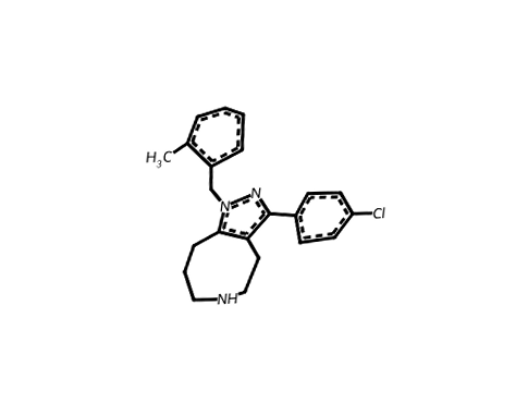 Cc1ccccc1Cn1nc(-c2ccc(Cl)cc2)c2c1CCCNCC2